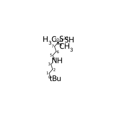 CC(C)(C)CCCNCCCC(C)(C)SS